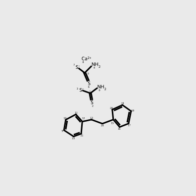 NC(=S)[S-].NC(=S)[S-].[Ca+2].c1ccc(CCc2ccccc2)cc1